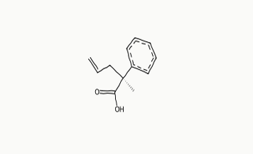 C=CC[C@](C)(C(=O)O)c1ccccc1